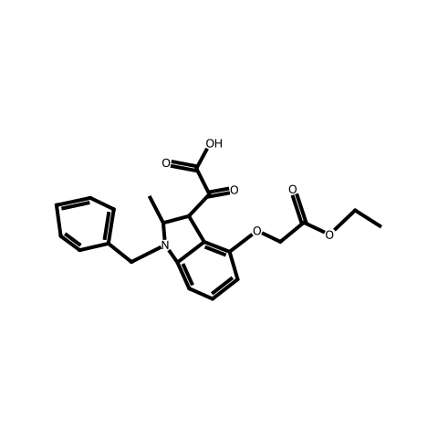 CCOC(=O)COc1cccc2c1C(C(=O)C(=O)O)C(C)N2Cc1ccccc1